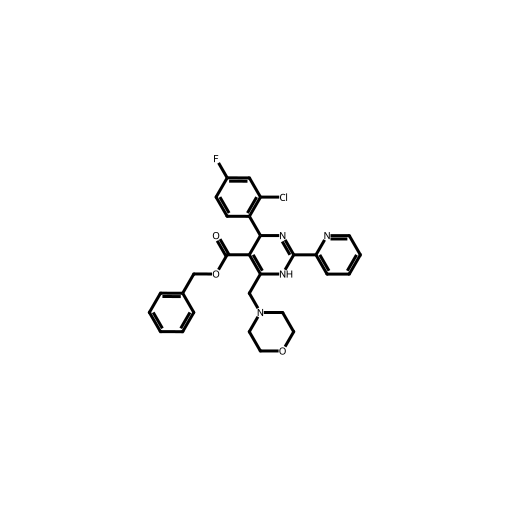 O=C(OCc1ccccc1)C1=C(CN2CCOCC2)NC(c2ccccn2)=NC1c1ccc(F)cc1Cl